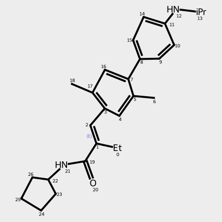 CC/C(=C\c1cc(C)c(-c2ccc(NC(C)C)cc2)cc1C)C(=O)NC1CCCC1